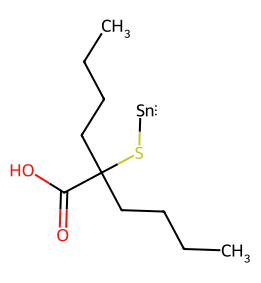 CCCCC(CCCC)([S][Sn])C(=O)O